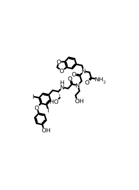 NC(=O)CN(Cc1ccc2c(c1)OCO2)C(=O)CN(CCO)C(=O)CN[C@H](CO)Cc1cc(I)c(Oc2ccc(O)cc2)c(I)c1